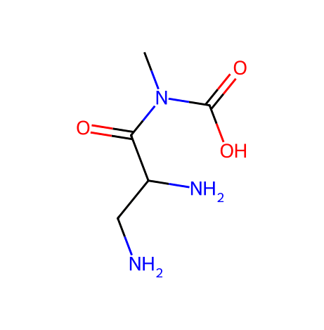 CN(C(=O)O)C(=O)C(N)CN